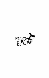 C=C(C)C(=O)OC(C#N)(C#N)CC